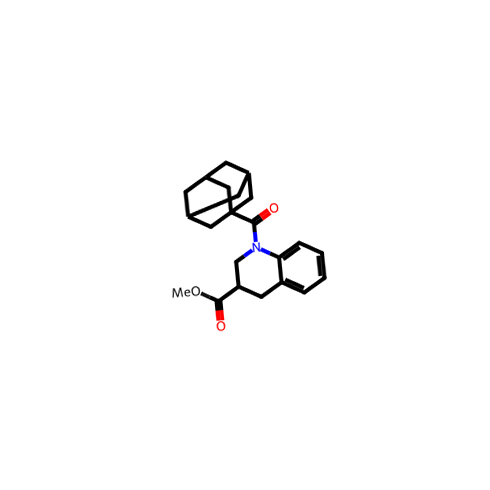 COC(=O)C1Cc2ccccc2N(C(=O)C23CC4CC(CC(C4)C2)C3)C1